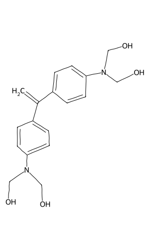 C=C(c1ccc(N(CO)CO)cc1)c1ccc(N(CO)CO)cc1